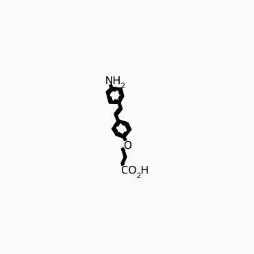 Nc1ccc(/C=C/c2ccc(OCCCC(=O)O)cc2)cc1